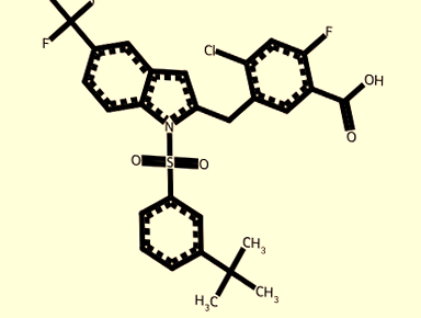 CC(C)(C)c1cccc(S(=O)(=O)n2c(Cc3cc(C(=O)O)c(F)cc3Cl)cc3cc(C(F)(F)F)ccc32)c1